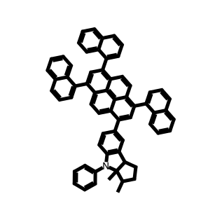 CC1CCC2c3cc(-c4cc(-c5cccc6ccccc56)c5ccc6c(-c7cccc8ccccc78)cc(-c7cccc8ccccc78)c7ccc4c5c76)ccc3N(c3ccccc3)C12C